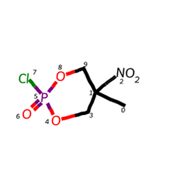 CC1([N+](=O)[O-])COP(=O)(Cl)OC1